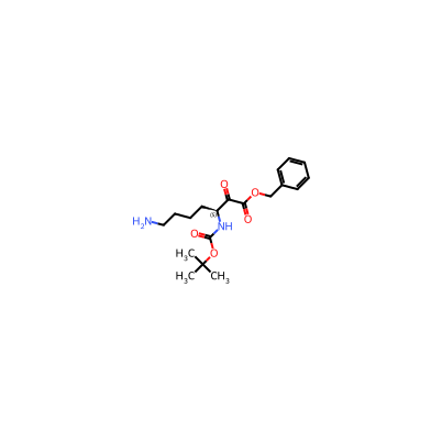 CC(C)(C)OC(=O)N[C@@H](CCCCN)C(=O)C(=O)OCc1ccccc1